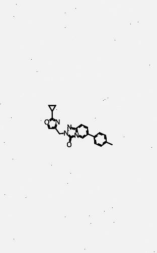 Cc1ccc(-c2ccc3nn(Cc4coc(C5CC5)n4)c(=O)n3c2)cc1